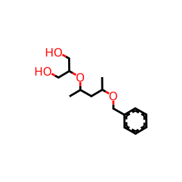 CC(CC(C)OC(CO)CO)OCc1ccccc1